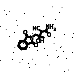 CC(O)(CN1C(=O)c2ccccc2C1=O)C(C#N)C(N)=O